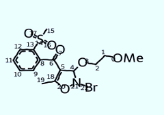 COCCOC1C(C(=O)c2ccccc2S(C)(=O)=O)=C(C)ON1Br